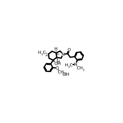 COc1ccccc1[C@]1(O)C[C@H](C)C[C@H]2CN(C(=O)Cc3ccccc3N(C)C)C[C@H]21.Cl